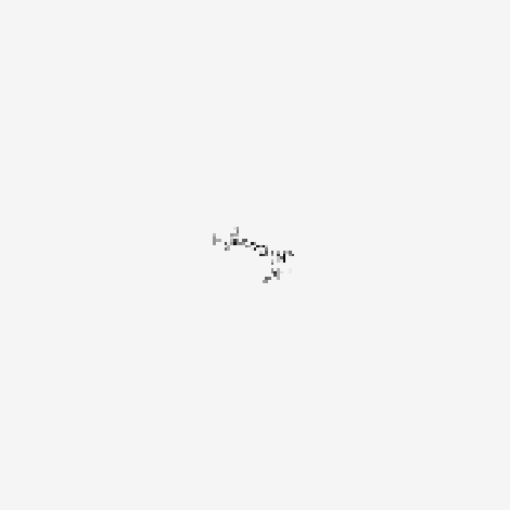 O=[SiH2].[Al+3].[N-3]